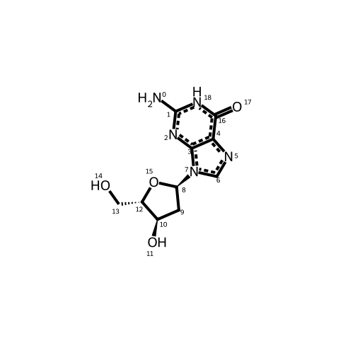 Nc1nc2c(ncn2[C@H]2C[C@@H](O)[C@H](CO)O2)c(=O)[nH]1